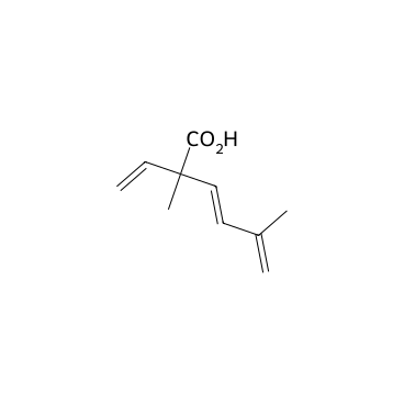 C=CC(C)(C=CC(=C)C)C(=O)O